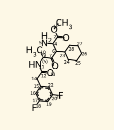 COC(=O)C(N)C(C(=O)[C@H](C)NC(=O)Cc1cc(F)cc(F)c1)C1CCCCC1